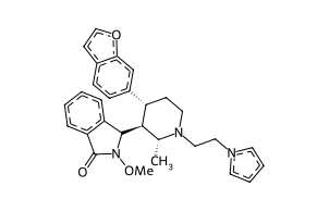 CON1C(=O)c2ccccc2C1[C@@H]1[C@@H](C)N(CCn2cccc2)CC[C@H]1c1ccc2ccoc2c1